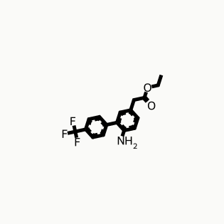 CCOC(=O)Cc1ccc(N)c(-c2ccc(C(F)(F)F)cc2)c1